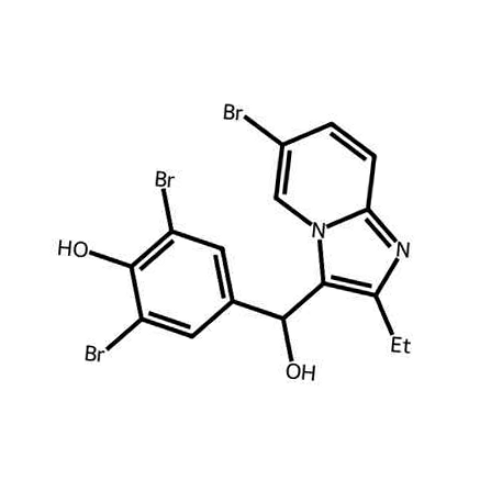 CCc1nc2ccc(Br)cn2c1C(O)c1cc(Br)c(O)c(Br)c1